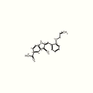 C=CCOc1ccccc1C=C1Oc2ccc(C(=O)O)cc2C1=O